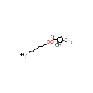 [CH2]CCCCCCCCOOC(=O)c1ccc(C)cc1C